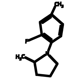 Cc1ccc(N2CCCC2C)c(F)c1